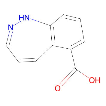 O=C(O)c1cccc2c1C=CC=NN2